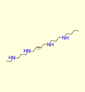 CCCCNCCCNC/C=C/CNCCCNCC